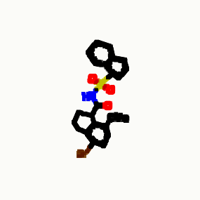 COc1ccc(Br)c2c1C(C(=O)NS(=O)(=O)c1cccc3ccccc13)CCC2